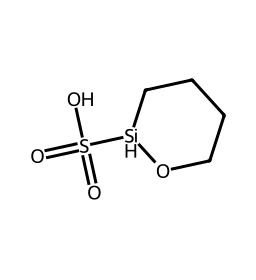 O=S(=O)(O)[SiH]1CCCCO1